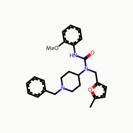 COc1ccccc1NC(=O)N(Cc1ccc(C)o1)C1CCN(Cc2ccccc2)CC1